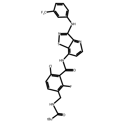 CC(C)(C)C(=O)NCc1ccc(Cl)c(C(=O)Nc2ccnc3c(Nc4cccc(C(F)(F)F)c4)nsc23)c1F